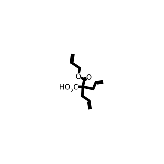 C=CCOC(=O)C(CC=C)(CC=C)C(=O)O